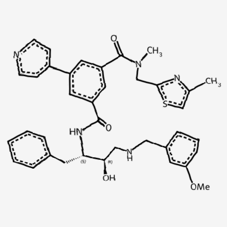 COc1cccc(CNC[C@@H](O)[C@H](Cc2ccccc2)NC(=O)c2cc(C(=O)N(C)Cc3nc(C)cs3)cc(-c3ccncc3)c2)c1